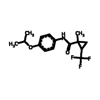 CC(C)Oc1ccc(NC(=O)C2(C)CC2C(F)(F)F)cc1